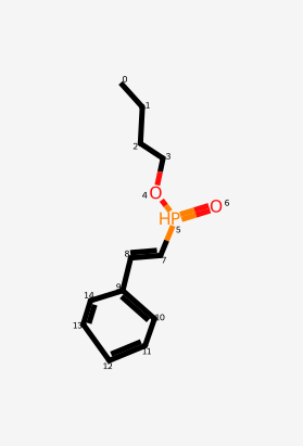 CCCCO[PH](=O)C=Cc1ccccc1